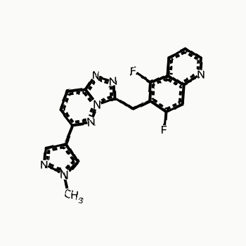 Cn1cc(-c2ccc3nnc(Cc4c(F)cc5ncccc5c4F)n3n2)cn1